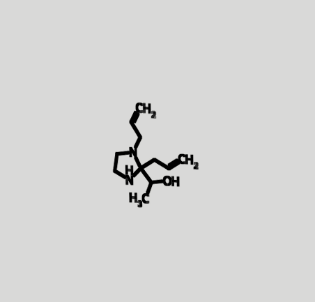 C=CCN1CCNC1(CC=C)C(C)O